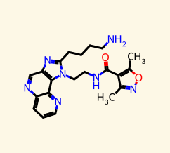 Cc1noc(C)c1C(=O)NCCn1c(CCCCN)nc2cnc3cccnc3c21